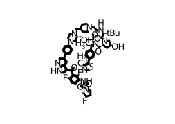 Cc1ncsc1-c1ccc([C@H](C)NC(=O)[C@@H]2C[C@@H](O)CN2C(=O)[C@@H](NC(=O)CN2CCC(CN3CCN(c4ccc(-c5cnc6[nH]cc(C(=O)c7c(F)ccc(NS(=O)(=O)N8CC[C@@H](F)C8)c7F)c6c5)cc4)C[C@H]3CO)CC2)C(C)(C)C)cc1